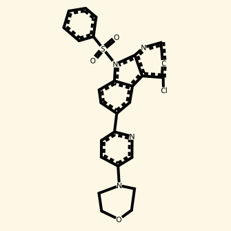 O=S(=O)(c1ccccc1)n1c2ccc(-c3ccc(N4CCOCC4)cn3)cc2c2c(Cl)ccnc21